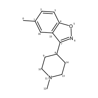 Cc1ccc2onc(C3CCN(C)CC3)c2c1